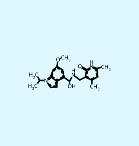 COc1cc(C(O)NCc2c(C)cc(C)[nH]c2=O)c2ccn(C(C)C)c2c1